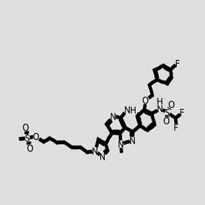 Cn1nc(-c2ccc(NS(=O)(=O)C(F)F)c(OCCc3ccc(F)cc3)c2)c2c(N)ncc(-c3cnn(CCCCCCCOS(C)(=O)=O)c3)c21